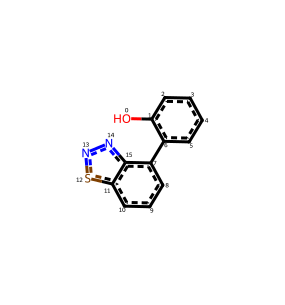 Oc1ccccc1-c1cccc2snnc12